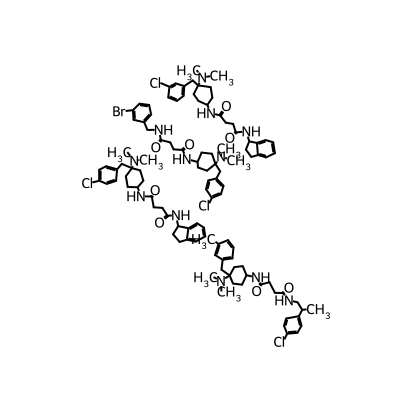 CN(C)C1(Cc2ccc(Cl)cc2)CCC(NC(=O)CCC(=O)NC2CCc3ccccc32)CC1.CN(C)C1(Cc2ccc(Cl)cc2)CCC(NC(=O)CCC(=O)NCc2cccc(Br)c2)CC1.CN(C)C1(Cc2cccc(Cl)c2)CCC(NC(=O)CCC(=O)NC2CCc3ccccc32)CC1.Cc1cccc(CC2(N(C)C)CCC(NC(=O)CCC(=O)NCC(C)c3ccc(Cl)cc3)CC2)c1